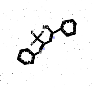 O/C(=C\C(=N\c1ccccc1)C(F)(F)F)c1ccccc1